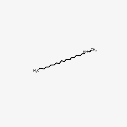 C=CNCCCCCCCCCCCCCCCCCCC